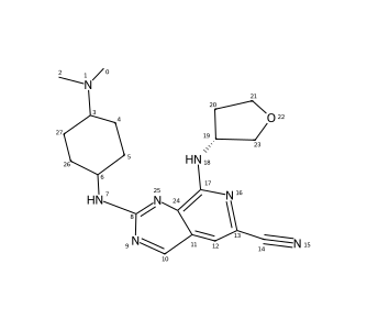 CN(C)C1CCC(Nc2ncc3cc(C#N)nc(N[C@@H]4CCOC4)c3n2)CC1